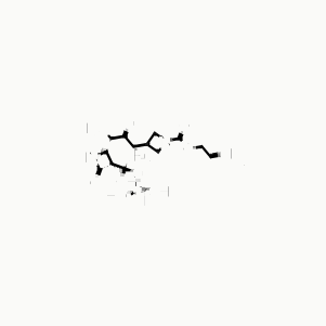 C=CCOC(=O)N1CC(CC(=O)C(C)[C@H]2NC(=O)[C@@H]2[C@@](C)(O[SiH](C)C)C(C)(C)C)C1